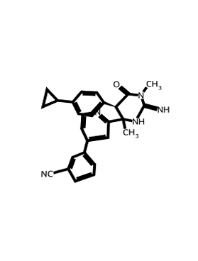 CN1C(=N)NC(C)(c2cc(-c3cccc(C#N)c3)ccn2)[C@@H](c2ccc(C3CC3)cc2)C1=O